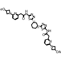 COC1CN(c2cccc(CC(=O)Nc3nnc([C@H]4CCC[C@H](c5nnc(NC(=O)Cc6cccc(N7CC(OC)C7)n6)s5)C4)s3)n2)C1